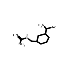 CC(=O)C(N)C1CCCC(CNC(=N)N)C1